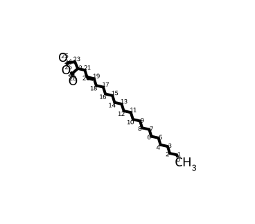 CCCCCCCCCCCCCCCCCCCC=CCC1CC(=O)OC1=O